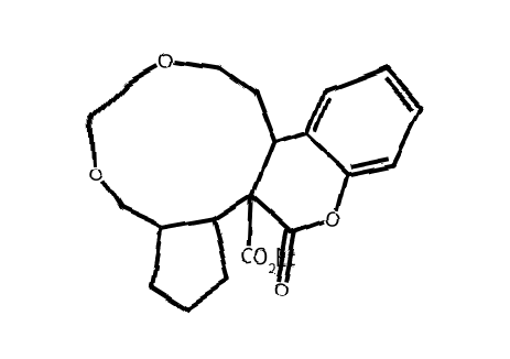 CCOC(=O)C12C(=O)Oc3ccccc3C1CCOCCOCC1CCCC12